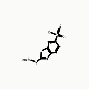 CCCCCCCSc1nc2ccc(S(=O)(=O)Cl)cc2s1